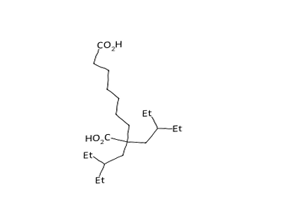 CCC(CC)CC(CCCCCCC(=O)O)(CC(CC)CC)C(=O)O